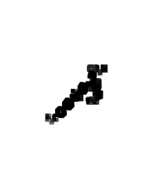 CC(C)(C)c1ccc(C(=O)N[C@@H](Cc2ccc(-c3ncc(-c4ccc([C@H]5CC[C@H](C(F)(F)F)CC5)cc4)cn3)cc2)C(=O)N2CC(C(=O)O)C2)s1